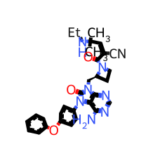 CCNC(C)(C)/C=C(/C#N)C(=O)N1CC[C@H]1Cn1c(=O)n(-c2ccc(Oc3ccccc3)cc2)c2c(N)ncnc21